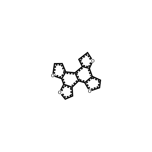 c1cc2c(o1)c1ccoc1c1c3ccoc3c3occc3c21